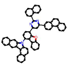 c1ccc2cc3c(cc2c1)c1c2ccccc2ccc1n3-c1ccc(-c2cc(-c3ccc4c(ccc5ccccc54)c3)nc(-c3cccc4ccccc34)n2)c2oc3ccccc3c12